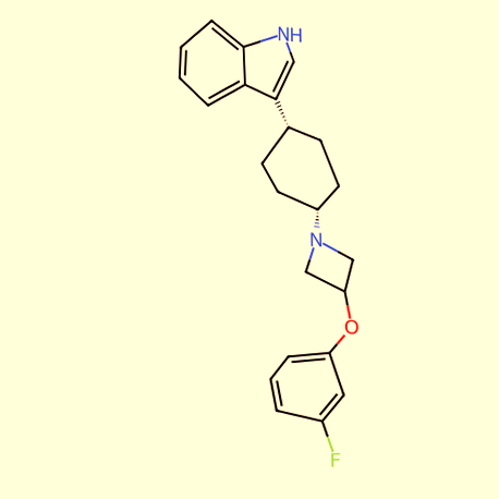 Fc1cccc(OC2CN([C@H]3CC[C@@H](c4c[nH]c5ccccc54)CC3)C2)c1